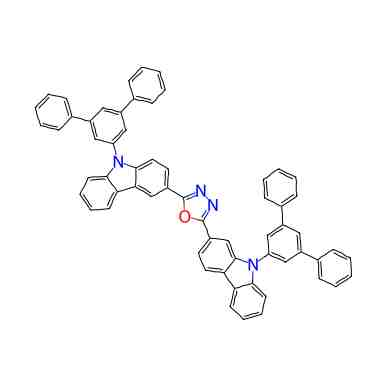 c1ccc(-c2cc(-c3ccccc3)cc(-n3c4ccccc4c4cc(-c5nnc(-c6ccc7c8ccccc8n(-c8cc(-c9ccccc9)cc(-c9ccccc9)c8)c7c6)o5)ccc43)c2)cc1